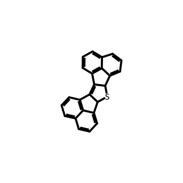 c1cc2c3c(cccc3c1)C1SC3C(=C21)c1cccc2cccc3c12